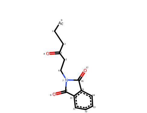 CC(=O)CCC(=O)CCN1C(=O)c2ccccc2C1=O